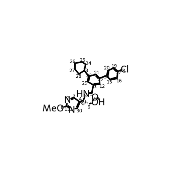 COc1ncc([C@@H](CO)NC(=O)c2cc(-c3ccc(Cl)cc3)cc(C3CCCCC3)c2)cn1